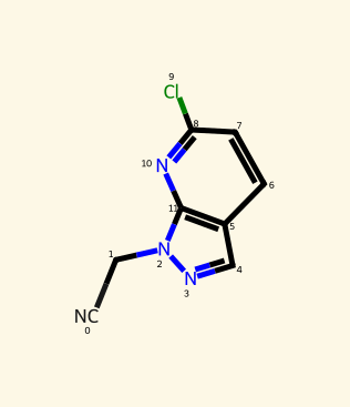 N#CCn1ncc2ccc(Cl)nc21